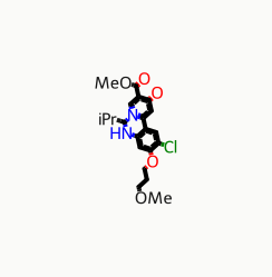 COCCCOc1cc2c(cc1Cl)-c1cc(=O)c(C(=O)OC)cn1C(C(C)C)N2